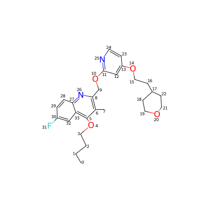 CCCCOc1c(C)c(COc2cc(OCCC3CCOCC3)ccn2)nc2ccc(F)cc12